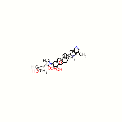 C=C(/C=C\c1ccncc1C)[C@H]1CC[C@@H]2[C@]1(C)CC=C1C=C3[C@@H](O)[C@H](O)[C@@H](N(C)C(=O)CCC[Si](C)(C)O)C[C@]34CC[C@@]12O4